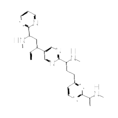 C=CC(CC(NC)c1ncccn1)c1cnc(C(CCc2ccnc(C(C)NC)n2)NC)nc1